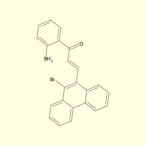 Bc1ccccc1C(=O)/C=C/c1c(Br)c2ccccc2c2ccccc12